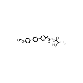 C=C(C)C(=O)OCC(=O)Oc1ccc(-c2ccc(-c3ccc(OC=O)cc3)cc2)cc1